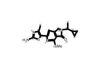 CSc1nc(-c2sc(N)nc2C)cc2c1C(=O)N(C(C)C1CC1)C2